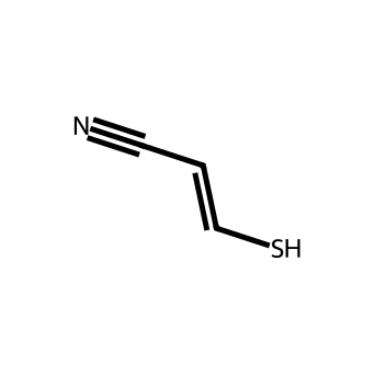 N#CC=CS